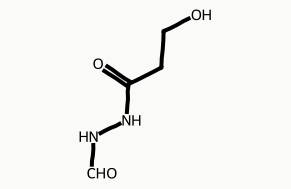 O=CNNC(=O)CCO